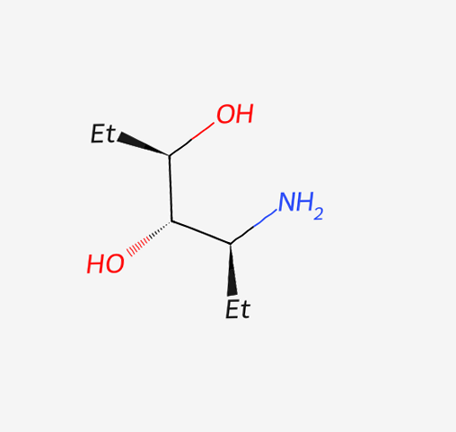 CC[C@@H](O)[C@@H](O)[C@@H](N)CC